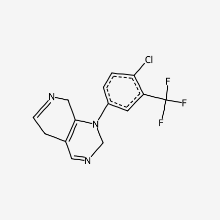 FC(F)(F)c1cc(N2CN=CC3=C2CN=CC3)ccc1Cl